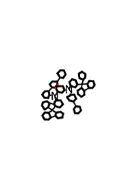 c1ccc(-c2ccc(-c3ccccc3N(c3cccc(N(c4ccc(-c5ccccc5)cc4)c4cccc(C5(c6ccccc6)c6ccccc6-c6ccccc65)c4)c3)c3cccc4c3-c3ccccc3C43c4ccccc4-c4ccccc43)cc2)cc1